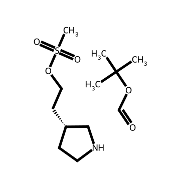 CC(C)(C)OC=O.CS(=O)(=O)OCC[C@H]1CCNC1